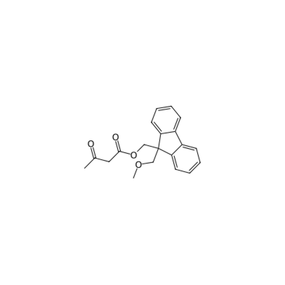 COCC1(COC(=O)CC(C)=O)c2ccccc2-c2ccccc21